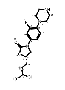 CC(O)NC[C@H]1CN(c2ccc(N3CCNCC3)c(F)c2)C(=O)O1